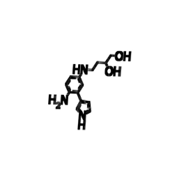 Nc1ccc(NCCC(O)CO)cc1-c1cc[nH]c1